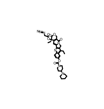 CCc1c2c(nc3ccc(OC(=O)N4CCC(N5CCCCC5)CC4)cc13)-c1cc3c(c(=O)n1C2)COC(=O)[C@@]3(CC)OC(=O)CN=[N+]=[N-]